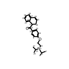 CC(C)N(CCOc1ccc(C(=O)C2CC=Cc3ccccc32)cc1)C(C)C